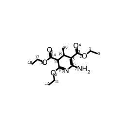 CCOC(=O)C1=C(N)N=C(OCC)C(C(=O)OCC)C1C